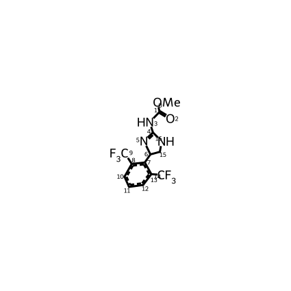 COC(=O)NC1=NC(c2c(C(F)(F)F)cccc2C(F)(F)F)CN1